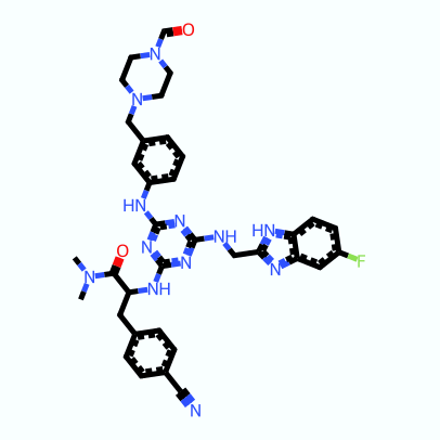 CN(C)C(=O)C(Cc1ccc(C#N)cc1)Nc1nc(NCc2nc3cc(F)ccc3[nH]2)nc(Nc2cccc(CN3CCN(C=O)CC3)c2)n1